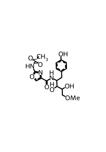 COCC(O)C(O)C(Cc1ccc(O)cc1)NC(=O)c1coc(NS(C)(=O)=O)n1